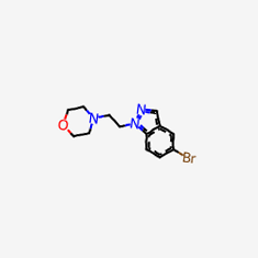 Brc1ccc2c(cnn2CCN2CCOCC2)c1